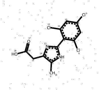 Cc1[nH]c(-c2c(Cl)cc(Cl)cc2Cl)nc1CC(=O)O